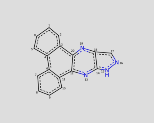 c1ccc2c(c1)c1ccccc1c1nc3[nH]ncc3nc21